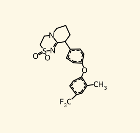 Cc1cc(C(F)(F)F)ccc1Oc1ccc(C2CCCN3CCS(=O)(=O)N=C23)cc1